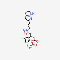 O=C(CC(CC1OC=NN1CCCc1ccc2c(n1)NCCC2)c1cc(F)cc(F)c1)OC(=O)C(F)(F)F